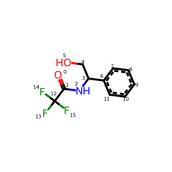 O=C(NC(CO)c1ccccc1)C(F)(F)F